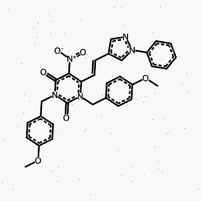 COc1ccc(Cn2c(/C=C/c3cnn(-c4ccccc4)c3)c([N+](=O)[O-])c(=O)n(Cc3ccc(OC)cc3)c2=O)cc1